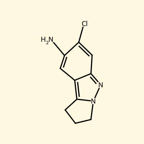 Nc1cc2c3n(nc2cc1Cl)CCC3